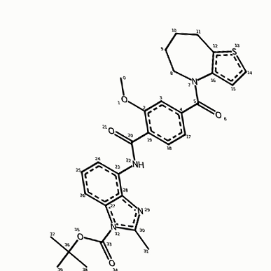 COc1cc(C(=O)N2CCCCc3sccc32)ccc1C(=O)Nc1cccc2c1nc(C)n2C(=O)OC(C)(C)C